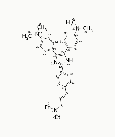 CCN(CC)C/C=C/c1ccc(-c2nc(-c3ccc(N(C)C)cc3)c(-c3ccc(N(C)C)cc3)[nH]2)cc1